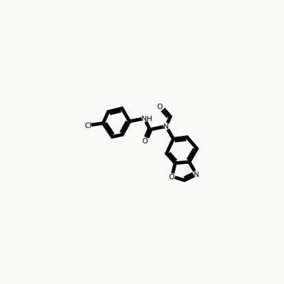 O=CN(C(=O)Nc1ccc(Cl)cc1)c1ccc2ncoc2c1